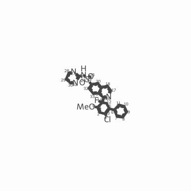 COC1=CC(Cl)=C(c2ccccc2)CC1(F)c1nccc2cc(S(=O)(=O)Nc3ncccn3)ccc12